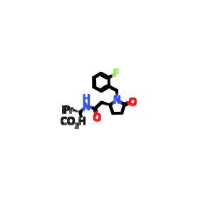 CC(C)[C@H](NC(=O)C[C@@H]1CCC(=O)N1Cc1ccccc1F)C(=O)O